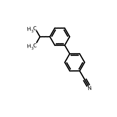 CC(C)c1cccc(-c2ccc(C#N)cc2)c1